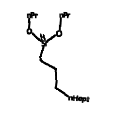 CCCCCCCCCC[SiH](OCCC)OCCC